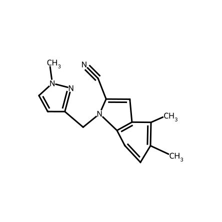 Cc1ccc2c(cc(C#N)n2Cc2ccn(C)n2)c1C